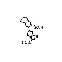 CS(=O)(=O)O.O=C(O)c1c[nH]c2cc(C3=CC4=C5CC5C=CN4C=C3)ccc12